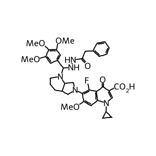 COc1cc(C(NNC(=O)Cc2ccccc2)N2CCCC3CN(c4c(OC)cc5c(c4F)c(=O)c(C(=O)O)cn5C4CC4)CC32)cc(OC)c1OC